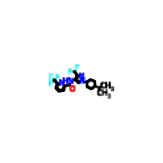 CC(C)[C@H]1CC[C@@H](n2cc(NC(=O)c3cccc(C(F)(F)F)n3)c(C(F)F)n2)CC1